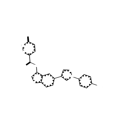 O=C(Nc1c[nH]c2ccc(-c3cnn(-c4ccc(C(F)(F)F)cc4)c3)cc12)c1ccc(=O)[nH]n1